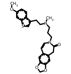 COc1ccc2c(CCN(C)CCCN3C=Cc4cc5c(cc4CC3=O)OCO5)csc2c1